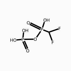 O=P(O)(O)OP(=O)(O)C(F)F